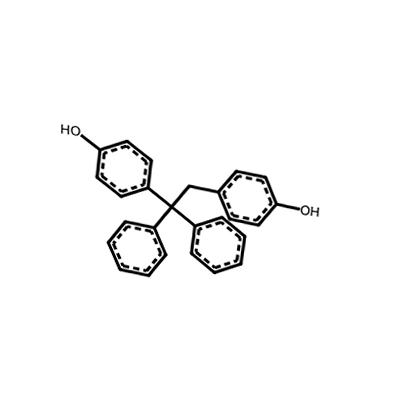 Oc1ccc(CC(c2ccccc2)(c2ccccc2)c2ccc(O)cc2)cc1